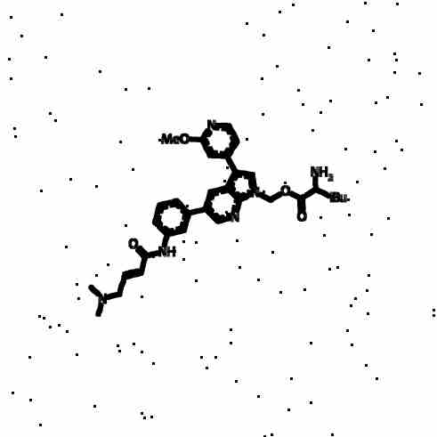 CCC(C)C(N)C(=O)OCn1cc(-c2ccnc(OC)c2)c2cc(-c3cccc(NC(=O)/C=C/CN(C)C)c3)cnc21